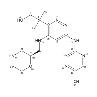 CC(C)(CO)c1nnc(Nc2cnc(C#N)cn2)cc1NC[C@@H]1CNCCO1